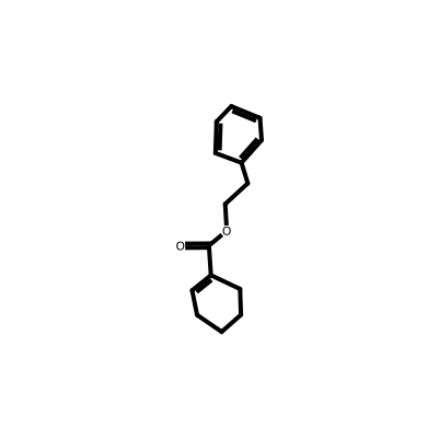 O=C(OCCc1ccccc1)C1=CCCCC1